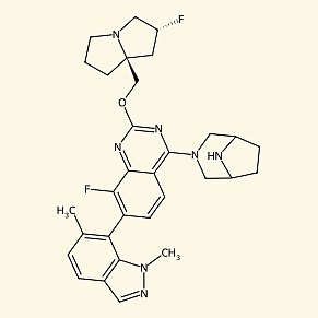 Cc1ccc2cnn(C)c2c1-c1ccc2c(N3CC4CCC(C3)N4)nc(OC[C@@]34CCCN3C[C@H](F)C4)nc2c1F